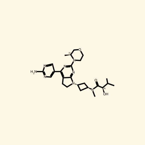 CC(C)[C@@H](O)C(=O)N(C)[C@H]1C[C@H](N2CCc3c(-c4cnc(N)nc4)nc(N4CCOC[C@@H]4C)nc32)C1